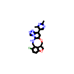 Cc1ncc(-c2cc3c(n4cnnc24)NCc2c(F)ccc4c2[C@H](CO4)CO3)c(C)n1